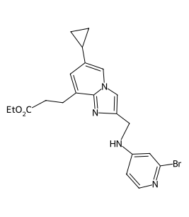 CCOC(=O)CCc1cc(C2CC2)cn2cc(CNc3ccnc(Br)c3)nc12